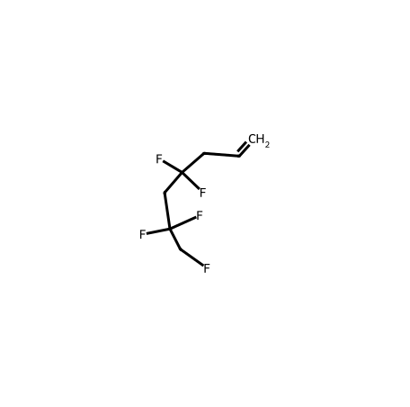 C=CCC(F)(F)CC(F)(F)CF